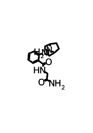 NC(=O)CNC(=O)c1ccccc1N1CC2CCC(C1)N2N